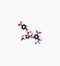 CON(C)C(=O)c1cc(NC(=O)[C@@H]2C[C@H](SC(C)=O)CN2C(=O)OCc2ccc([N+](=O)[O-])cc2)cc([N+](=O)[O-])c1